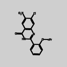 CCCOc1ccccc1-c1nc2cc(Cl)c([N+](=O)[O-])cc2c(=O)[nH]1